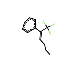 CCCC=C(c1ccccc1)C(F)(F)F